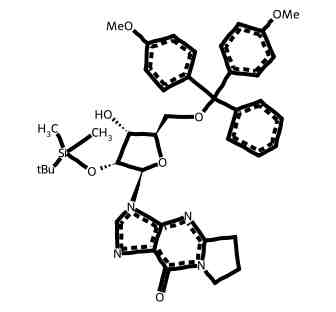 COc1ccc(C(OC[C@H]2O[C@@H](n3cnc4c(=O)n5c(nc43)CCC5)[C@H](O[Si](C)(C)C(C)(C)C)[C@@H]2O)(c2ccccc2)c2ccc(OC)cc2)cc1